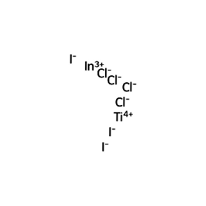 [Cl-].[Cl-].[Cl-].[Cl-].[I-].[I-].[I-].[In+3].[Ti+4]